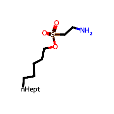 CCCCCCCCCCCCOS(=O)(=O)CCN